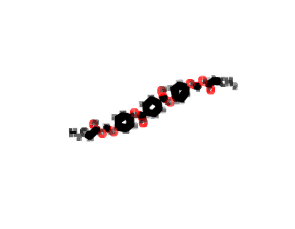 C=CC(=O)OCOc1ccc(OC(=O)[C@H]2CC[C@H](C(=O)Oc3ccc(OCOC(=O)C=C)cc3)CC2)cc1